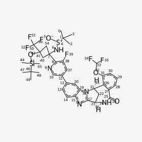 CC(C)(C)[S+]([O-])NC1(c2ncc(-c3ccc4nc5n(c4c3)[C@@H]3C[C@H]5NC(=O)c4cccc(OC(F)F)c43)cc2F)CC(O[Si](C)(C)C(C)(C)C)(C(F)(F)F)C1